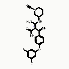 N#CN1CCCC(N/C(N)=C(\C(=N)c2ccc(Oc3cc(F)cc(Cl)c3)cc2)C(N)=O)C1